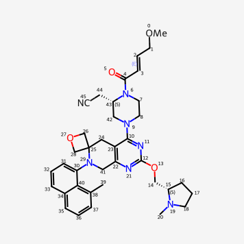 COC/C=C/C(=O)N1CCN(c2nc(OC[C@@H]3CCCN3C)nc3c2CC2(COC2)N(c2cccc4cccc(C)c24)C3)C[C@@H]1CC#N